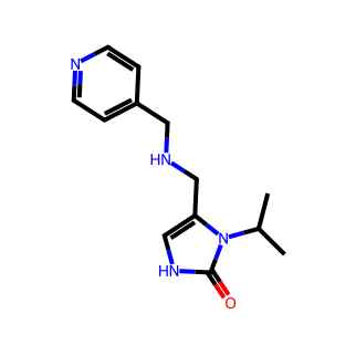 CC(C)n1c(CNCc2ccncc2)c[nH]c1=O